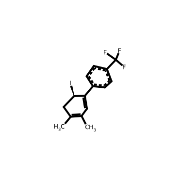 CC1=C(C)C[C@@H](I)C(c2ccc(C(F)(F)F)cc2)=C1